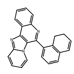 C1=Cc2cccc(-c3nc4ccccc4c4nc5ccccn5c34)c2CC1